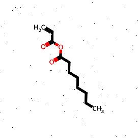 C=CC(=O)OC(=O)CCCCCCC